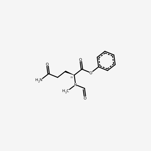 CN(C=O)[C@@H](CCC(N)=O)C(=O)Oc1ccccc1